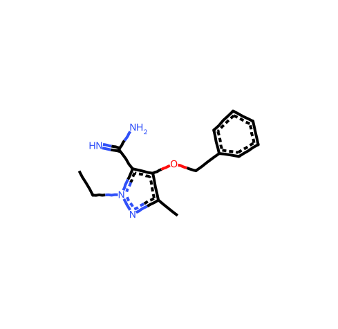 CCn1nc(C)c(OCc2ccccc2)c1C(=N)N